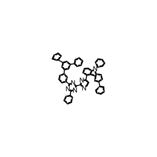 c1ccc(-c2cc(-c3ccccc3)cc(-c3cccc(-c4nc(-c5ccccc5)nc(-c5nccc(-c6cccc7c6c6cc(-c8ccccc8)ccc6n7-c6ccccc6)n5)n4)c3)c2)cc1